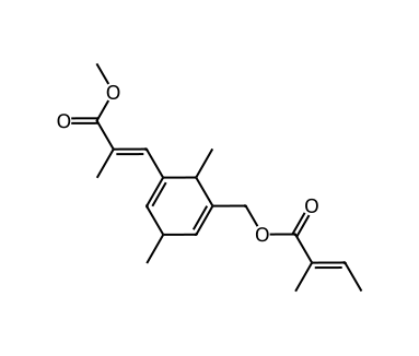 C/C=C(\C)C(=O)OCC1=CC(C)C=C(/C=C(\C)C(=O)OC)C1C